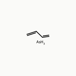 C=CC=C.[AsH3]